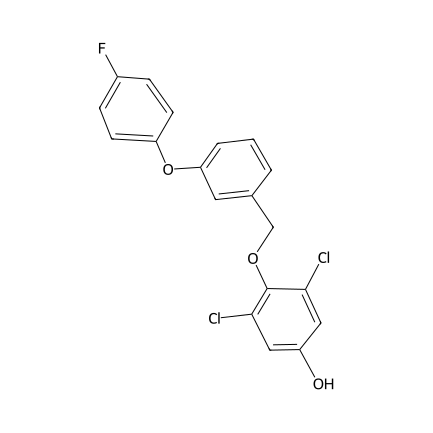 Oc1cc(Cl)c(OCc2cccc(Oc3ccc(F)cc3)c2)c(Cl)c1